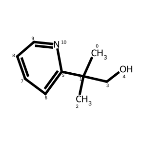 CC(C)(CO)c1ccccn1